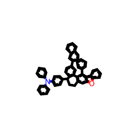 c1ccc(-c2c3c(cc4oc5ccccc5c24)CCC(c2ccc(N(c4ccccc4)c4ccccc4)cc2)c2ccc(-c4ccc5ccccc5c4)cc2-3)cc1